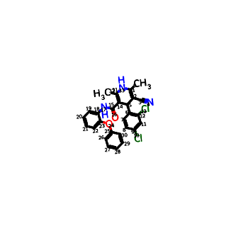 CC1=C(C#N)C(c2ccc(Cl)cc2Cl)C(C(=O)Nc2ccccc2Oc2ccccc2)=C(C)N1